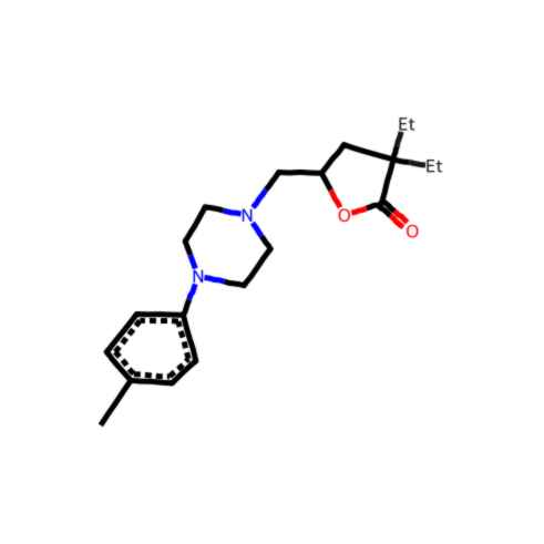 CCC1(CC)CC(CN2CCN(c3ccc(C)cc3)CC2)OC1=O